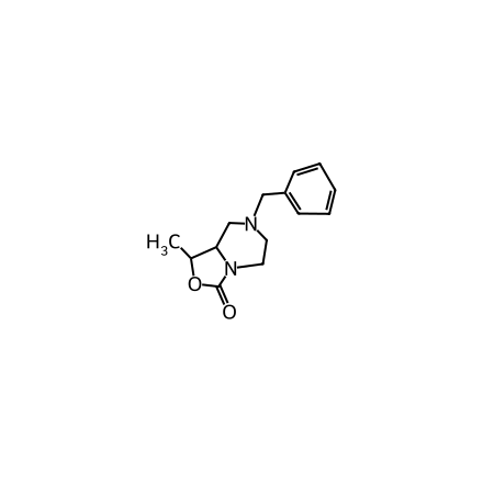 CC1OC(=O)N2CCN(Cc3ccccc3)CC12